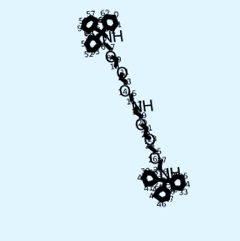 c1ccc(C(NCCOCCOCCOCCNCCOCCOCCOCCNC(c2ccccc2)(c2ccccc2)c2ccccc2)(c2ccccc2)c2ccccc2)cc1